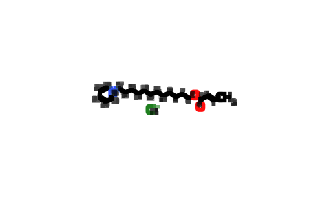 CC=CC(=O)OCCCCCCCCCCCC[n+]1ccccc1.[Cl-]